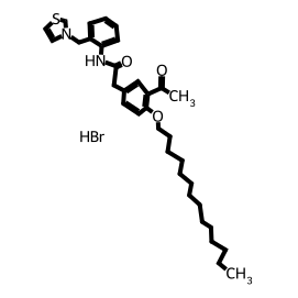 Br.CCCCCCCCCCCCCCOc1ccc(CC(=O)Nc2ccccc2CN2C=CSC2)cc1C(C)=O